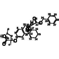 CCCC(C)(Oc1ccc2c(c1)[C@@]13CCCC[C@H]1[C@@H](C2)N(C(=O)OCc1ccccc1)CC3)C(=O)O